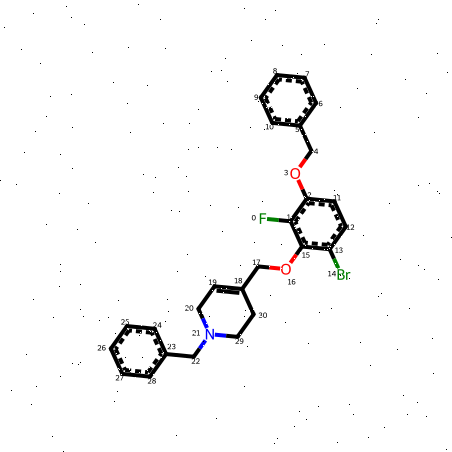 Fc1c(OCc2ccccc2)ccc(Br)c1OCC1=CCN(Cc2ccccc2)CC1